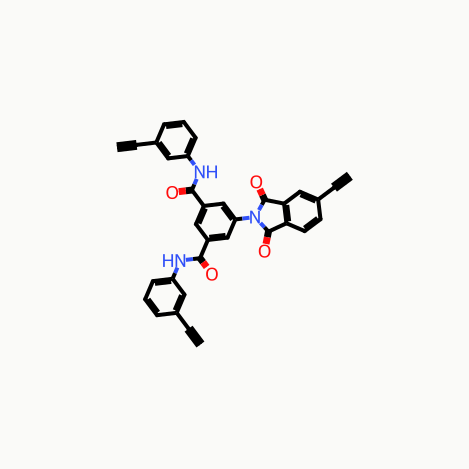 C#Cc1cccc(NC(=O)c2cc(C(=O)Nc3cccc(C#C)c3)cc(N3C(=O)c4ccc(C#C)cc4C3=O)c2)c1